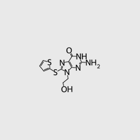 Nc1nc2c(nc(Sc3cccs3)n2CCO)c(=O)[nH]1